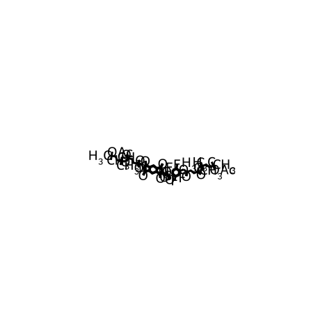 CC(=O)OC(C)(C)CCC(C)(C)OC(=O)CCC(=O)Oc1c(F)c(F)c(S(=O)(=O)On2c(=O)c3cc4c(=O)n(OC(=O)CCC(=O)OC(C)(C)CCC(C)(C)OC(C)=O)c(=O)c4cc3c2=O)c(F)c1F